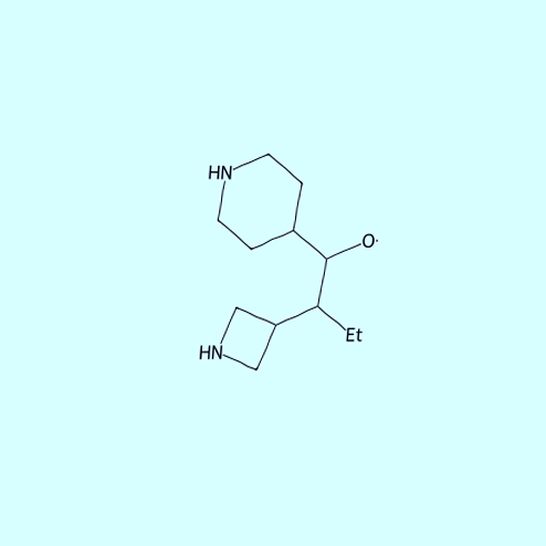 CCC(C1CNC1)C([O])C1CCNCC1